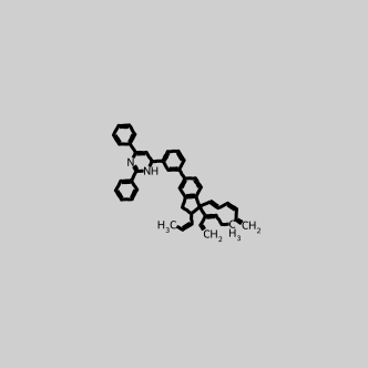 C=C/C=C\C=C\C1(/C(C=C)=C/CC)c2ccc(-c3cccc(C4C=C(c5ccccc5)N=C(c5ccccc5)N4)c3)cc2CC1/C=C\C